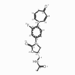 CC(=O)NC[C@H]1CN(c2ccc(N3C=CCC(=O)C=C3)c(F)c2)C(=O)O1